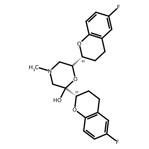 CN1CC([C@H]2CCc3cc(F)ccc3O2)OC(O)([C@@H]2CCc3cc(F)ccc3O2)C1